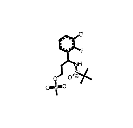 CC(C)(C)[S@@+]([O-])NC(CCOS(C)(=O)=O)c1cccc(Cl)c1F